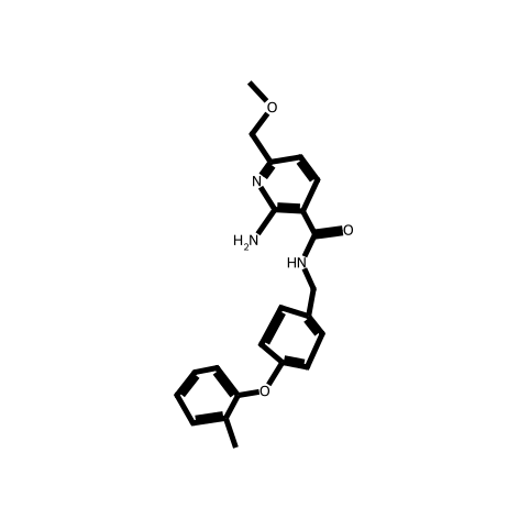 COCc1ccc(C(=O)NCc2ccc(Oc3ccccc3C)cc2)c(N)n1